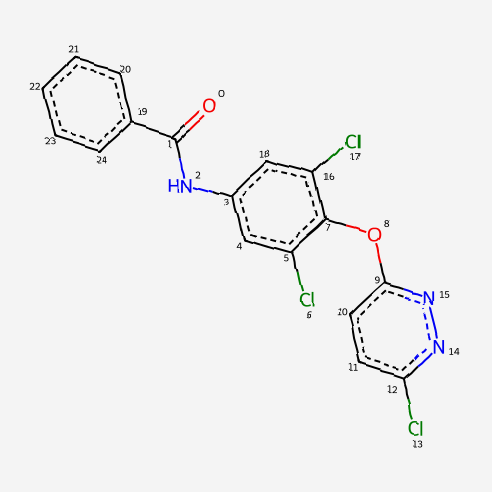 O=C(Nc1cc(Cl)c(Oc2ccc(Cl)nn2)c(Cl)c1)c1ccccc1